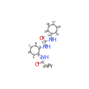 CCCC(=O)Nc1ccccc1NC(=O)Nc1ccccc1